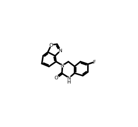 O=C1Nc2ccc(F)cc2CN1c1cccc2ocnc12